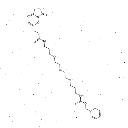 O=C(CCC(=O)ON1C(=O)CCC1=O)NCCCOCCOCCOCCCNC(=O)OCC1C=CC=CC1